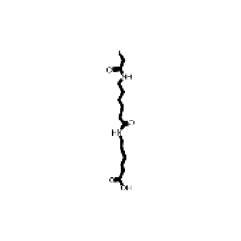 O=C(O)CCCCCNC(=O)CCCCCNC(=O)CI